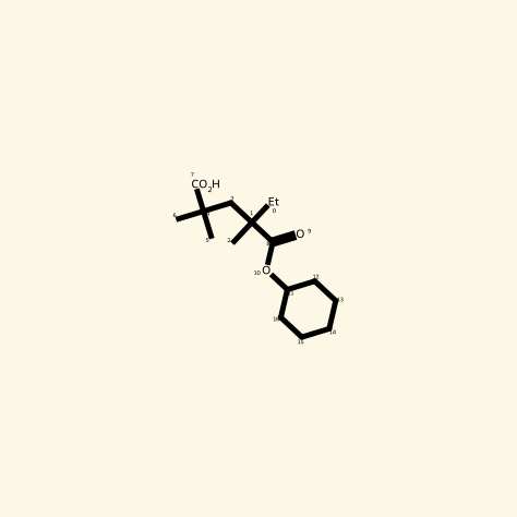 CCC(C)(CC(C)(C)C(=O)O)C(=O)OC1CCCCC1